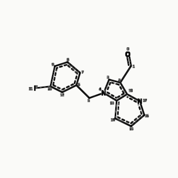 O=Cc1cn(Cc2cccc(F)c2)c2cccnc12